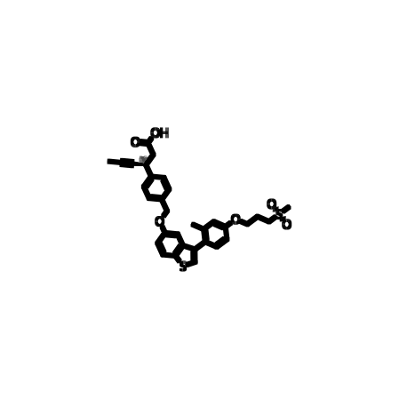 CC#C[C@@H](CC(=O)O)c1ccc(COc2ccc3scc(-c4ccc(OCCCS(C)(=O)=O)cc4C)c3c2)cc1